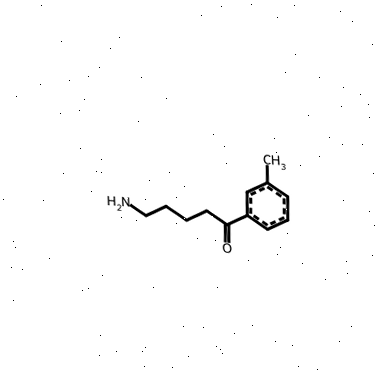 Cc1cccc(C(=O)CCCCN)c1